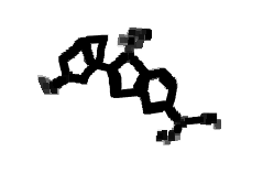 CCN1CC2CC2(c2cc3cc(N(C)C)ccc3s2)C1.Cl.Cl